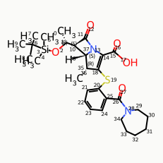 C[C@@H](O[Si](C)(C)C(C)(C)C)[C@H]1C(=O)N2C(C(=O)O)=C(Sc3ccccc3C(=O)N3CCCCCC3)[C@H](C)[C@H]12